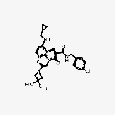 CC1(C)CN(C(=O)Cn2c(=O)c(C(=O)NCc3ccc(Cl)cc3)cc3c(NCC4CC4)ccnc32)C1